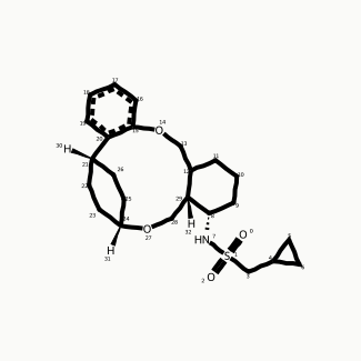 O=S(=O)(CC1CC1)N[C@H]1CCCC2COc3ccccc3[C@H]3CC[C@H](CC3)OC[C@H]21